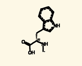 [CH2]N[C@@H](Cc1c[nH]c2ccccc12)C(=O)O